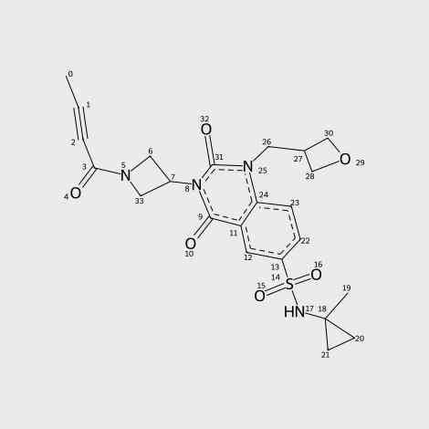 CC#CC(=O)N1CC(n2c(=O)c3cc(S(=O)(=O)NC4(C)CC4)ccc3n(CC3COC3)c2=O)C1